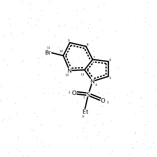 CCS(=O)(=O)n1ccc2ccc(Br)nc21